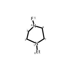 CCN1CCN(F)CC1